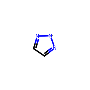 C1=N[N]N=C1